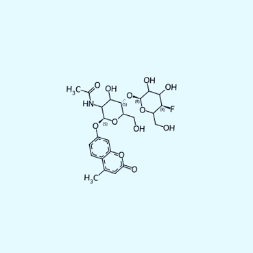 CC(=O)NC1C(O)[C@H](O[C@@H]2OC(CO)[C@H](F)C(O)C2O)C(CO)O[C@H]1Oc1ccc2c(C)cc(=O)oc2c1